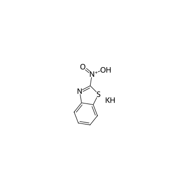 O=[N+](O)c1nc2ccccc2s1.[KH]